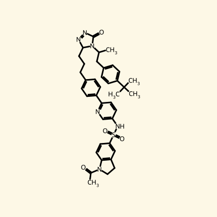 CC(=O)N1CCc2cc(S(=O)(=O)Nc3ccc(-c4ccc(CCCC5N=NC(=O)N5C(C)Cc5ccc(C(C)(C)C)cc5)cc4)nc3)ccc21